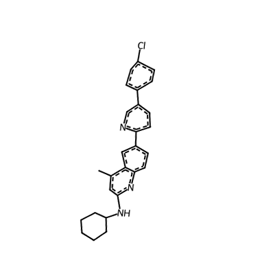 Cc1cc(NC2CCCCC2)nc2ccc(-c3ccc(-c4ccc(Cl)cc4)cn3)cc12